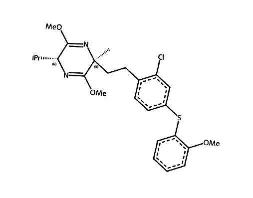 COC1=N[C@@](C)(CCc2ccc(Sc3ccccc3OC)cc2Cl)C(OC)=N[C@@H]1C(C)C